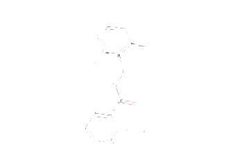 O=C(NOc1c(Cl)cccc1Cl)c1ccccc1Cl